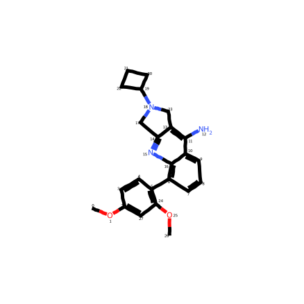 COc1ccc(-c2cccc3c(N)c4c(nc23)CN(C2CCC2)C4)c(OC)c1